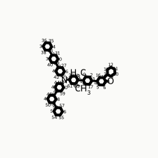 Cc1cc(-c2ccc3oc4ccccc4c3c2)ccc1-c1ccc(N(c2ccc(-c3ccc(-c4ccccc4)cc3)cc2)c2ccc(-c3cccc(-c4ccccc4)c3)cc2)cc1C